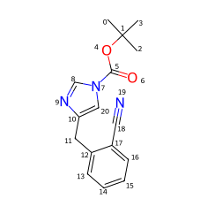 CC(C)(C)OC(=O)n1cnc(Cc2ccccc2C#N)c1